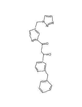 O=C(CC(=O)c1cc(Cn2ccnn2)ccn1)c1cccc(Cc2ccccc2)c1